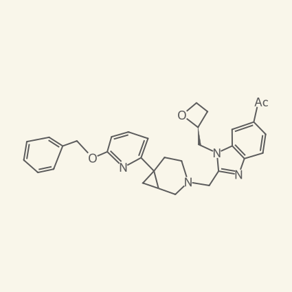 CC(=O)c1ccc2nc(CN3CCC4(c5cccc(OCc6ccccc6)n5)CC4C3)n(C[C@@H]3CCO3)c2c1